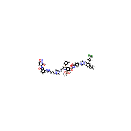 CC1(C)CCC(CN2CCN(c3ccc(C(=O)NS(=O)(=O)c4ccc(N[C@H](CCN5CCN(CCCCCNc6cccc7c6CN(C6CCC(=O)NC6=O)C7=O)CC5)CSc5ccccc5)c(S(=O)(=O)C(F)(F)F)c4)cc3)CC2)=C(C2=CC(C(F)F)C2)C1